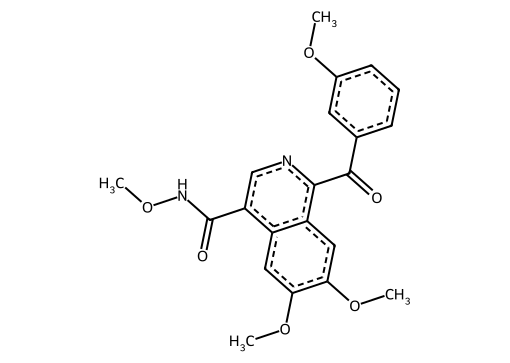 CONC(=O)c1cnc(C(=O)c2cccc(OC)c2)c2cc(OC)c(OC)cc12